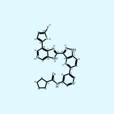 O=C(Nc1cncc(-c2ccc3[nH]nc(-c4nc5c(-c6ccc(F)s6)cncc5[nH]4)c3n2)c1)C1CCCC1